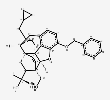 CC(C)(C)[C@](C)(O)C1C[C@@]23C=C[C@@]1(CO)[C@@H]1Oc4c(OCc5ccccc5)ccc5c4[C@@]12CCN(CC1CC1)[C@@H]3C5